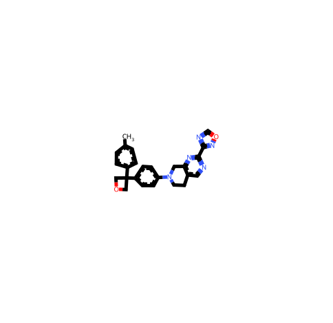 Cc1ccc(C2(c3ccc(N4CCc5cnc(-c6ncon6)nc5C4)cc3)COC2)cc1